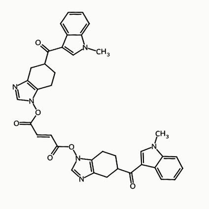 Cn1cc(C(=O)C2CCc3c(ncn3OC(=O)/C=C/C(=O)On3cnc4c3CCC(C(=O)c3cn(C)c5ccccc35)C4)C2)c2ccccc21